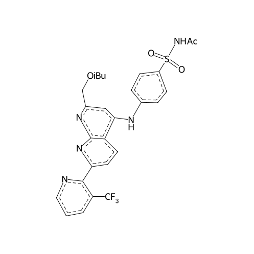 CC(=O)NS(=O)(=O)c1ccc(Nc2cc(COCC(C)C)nc3nc(-c4ncccc4C(F)(F)F)ccc23)cc1